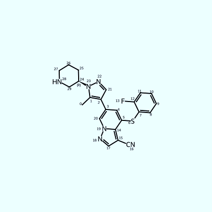 Cc1c(-c2cc(Sc3ccccc3F)c3c(C#N)cnn3c2)cnn1[C@@H]1CCCNC1